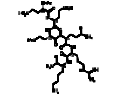 CSCC[C@H](NC(=O)[C@H](CCC(=O)O)NC(=O)[C@H](CCC(=O)O)NC(C)=O)C(=O)N[C@@H](CCC(N)=O)C(=O)N[C@@H](CCCNC(=N)N)C(=O)N[C@@H](CCCCN)C(N)=O